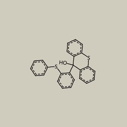 OC1(c2ccccc2Sc2ccccc2)c2ccccc2Sc2ccccc21